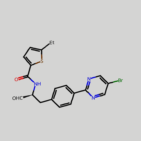 CCc1ccc(C(=O)N[C@H](C=O)Cc2ccc(-c3ncc(Br)cn3)cc2)s1